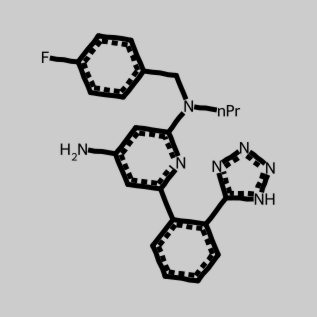 CCCN(Cc1ccc(F)cc1)c1cc(N)cc(-c2ccccc2-c2nnn[nH]2)n1